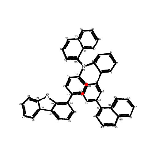 c1cc(-c2ccccc2N(c2ccc(-c3cccc4c3oc3ccccc34)cc2)c2cccc3ccccc23)cc(-c2cccc3ccccc23)c1